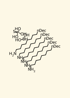 CCCCCCCCCCCCCCCCCCN.CCCCCCCCCCCCCCCCCCN.CCCCCCCCCCCCCCCCCCN.CCCCCCCCCCCCCCCCCCN.CCCCCCCCCCCCCCCCCCN.OBO.OP(O)(O)=S